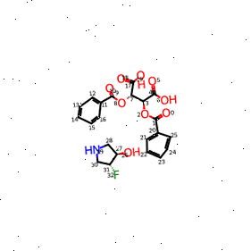 O=C(O[C@H](C(=O)O)[C@H](OC(=O)c1ccccc1)C(=O)O)c1ccccc1.O[C@@H]1CNC[C@H]1F